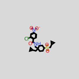 O=C(NCC1(CC2CC2)CCC(S(=O)(=O)CC2CC2)CC1)c1ccc([N+](=O)[O-])cc1Cl